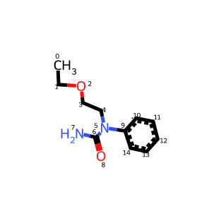 CCOCCN(C(N)=O)c1[c]cccc1